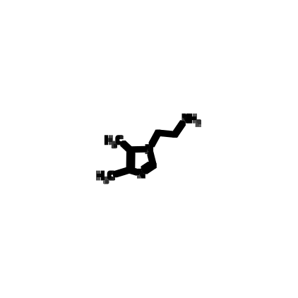 Cc1ncn(CCN)c1C